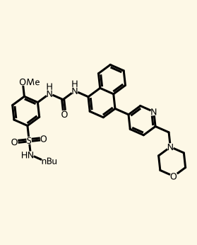 CCCCNS(=O)(=O)c1ccc(OC)c(NC(=O)Nc2ccc(-c3ccc(CN4CCOCC4)nc3)c3ccccc23)c1